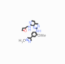 COc1cc(-c2cnn(C)c2)ccc1Nc1ncc2ccnc(NCC3CCO3)c2n1